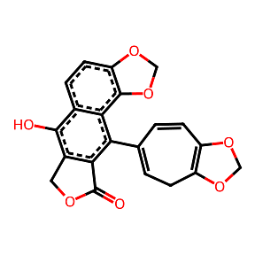 O=C1OCc2c1c(C1=CCC3=C(C=C1)OCO3)c1c3c(ccc1c2O)OCO3